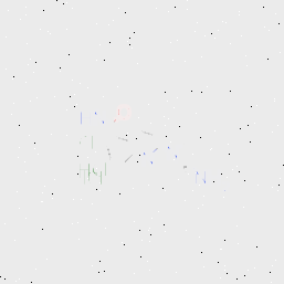 Cl.Cl.N[C@@H]1CCN(c2ccc3c(C(=O)NCC4CCCCC4)c(Cl)ccc3n2)C1